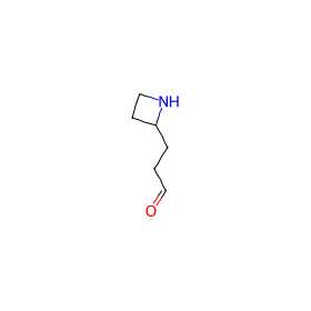 O=CCCC1CCN1